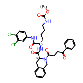 CC(C)(C)OC(=O)NCCCC[C@H](NC(=O)[C@@H]1Cc2ccccc2CN1C(=O)CCC(=O)c1ccccc1)C(=O)Nc1ccc(Cl)c(Cl)c1